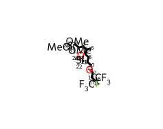 CO[Si](CCCC(C)C(CCCOCCC(F)(C(F)(F)F)C(F)(F)F)O[Si](C)(C)C)(OC)OC